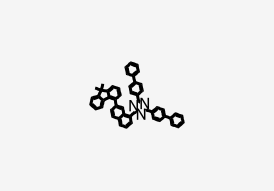 CC1(C)c2ccccc2-c2c(-c3ccc4cccc(-c5nc(-c6ccc(-c7ccccc7)cc6)nc(-c6ccc(-c7ccccc7)cc6)n5)c4c3)cccc21